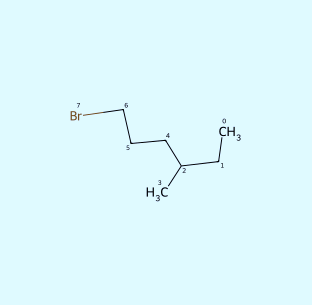 CCC(C)CCCBr